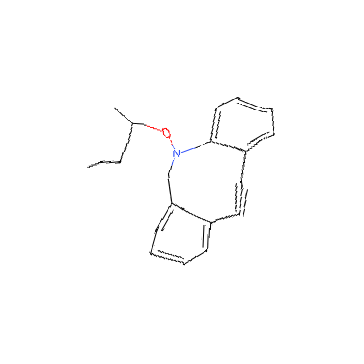 CCC(C)ON1Cc2ccccc2C#Cc2ccccc21